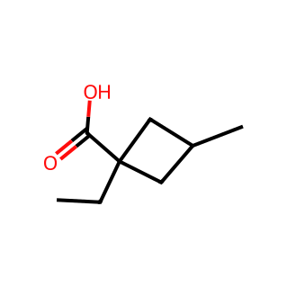 CCC1(C(=O)O)CC(C)C1